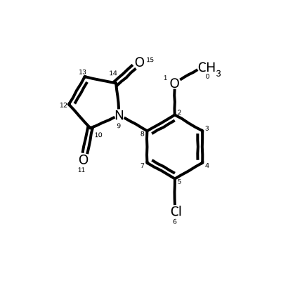 COc1ccc(Cl)cc1N1C(=O)C=CC1=O